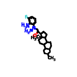 CC1CCC2C(CCC3C2CCC2(C)C(C(=O)CN(N)c4cccc(F)c4N)CCC32)C1